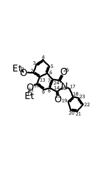 CCOc1cccc2c3c(cc(OCC)c12)C(=O)N(Cc1ccccc1)C3=O